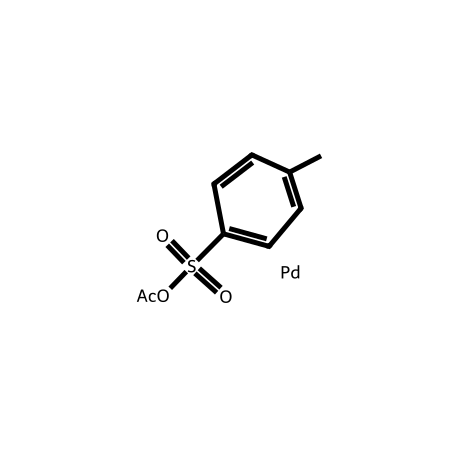 CC(=O)OS(=O)(=O)c1ccc(C)cc1.[Pd]